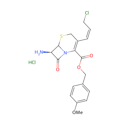 COc1ccc(COC(=O)C2=C(/C=C\CCl)CSC3[C@H](N)C(=O)N23)cc1.Cl